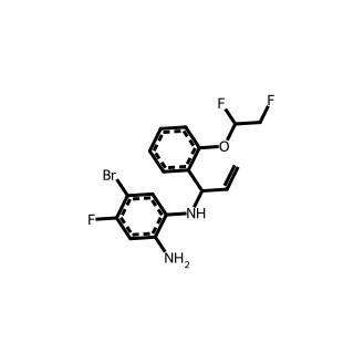 C=CC(Nc1cc(Br)c(F)cc1N)c1ccccc1OC(F)CF